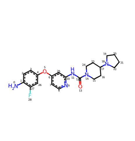 Nc1ccc(Oc2ccnc(NC(=O)N3CCC(N4CCCC4)CC3)c2)cc1F